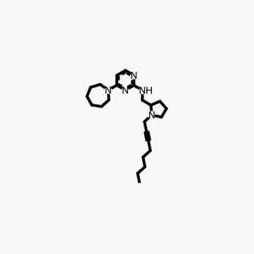 CCCCCC#CCN1CCCC1CNc1nccc(N2CCCCCC2)n1